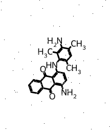 Cc1cc(C)c(Nc2ccc(N)c3c2C(=O)c2ccccc2C3=O)c(C)c1N